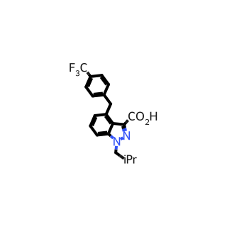 CC(C)Cn1nc(C(=O)O)c2c(Cc3ccc(C(F)(F)F)cc3)cccc21